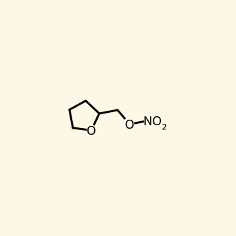 O=[N+]([O-])OCC1CCCO1